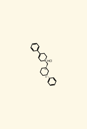 C1=C(c2ccccc2)CCN(C[C@@H]2CCC[C@@H](c3ccccc3)C2)C1.Cl